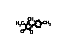 Cc1ccc(-n2c(=O)c(Cl)c(C)n2C)cc1